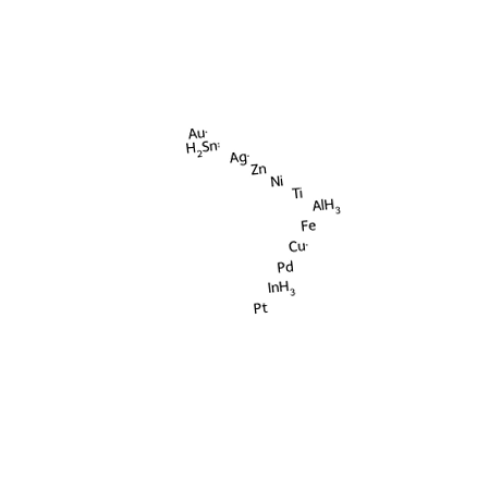 [Ag].[AlH3].[Au].[Cu].[Fe].[InH3].[Ni].[Pd].[Pt].[SnH2].[Ti].[Zn]